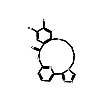 O=C1Nc2cccc(n2)-c2nncn2CCCCOc2cc(F)c(O)cc21